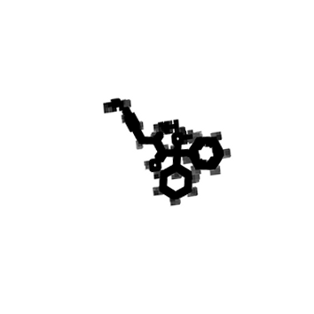 CCCC#CCC(N)C(=O)C(O)(c1ccccc1)C1CCCCC1